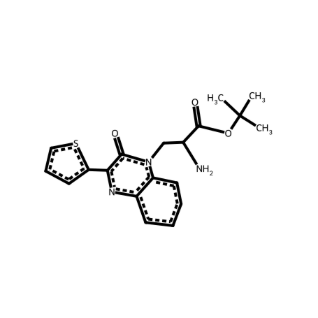 CC(C)(C)OC(=O)C(N)Cn1c(=O)c(-c2cccs2)nc2ccccc21